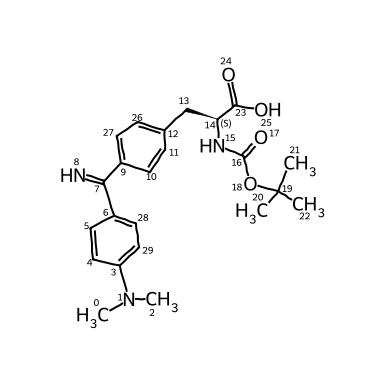 CN(C)c1ccc(C(=N)c2ccc(C[C@H](NC(=O)OC(C)(C)C)C(=O)O)cc2)cc1